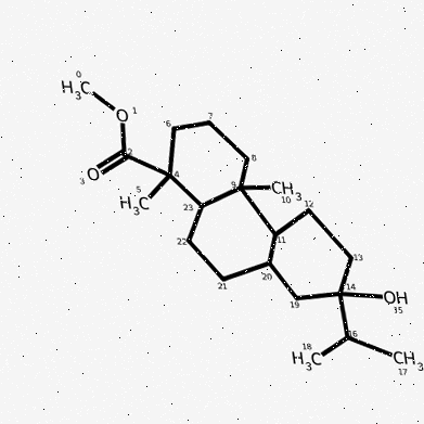 COC(=O)C1(C)CCCC2(C)C3CCC(O)(C(C)C)CC3CCC12